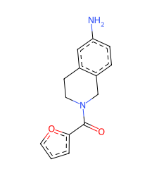 Nc1ccc2c(c1)CCN(C(=O)c1ccco1)C2